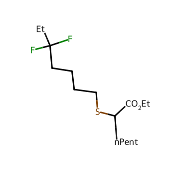 CCCCCC(SCCCCC(F)(F)CC)C(=O)OCC